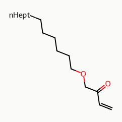 C=CC(=O)COCCCCCCCCCCCCC